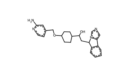 Nc1cc(COC2CCC(C(O)CC3c4ccccc4-c4cncn43)CC2)ccn1